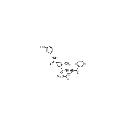 COC(=O)[C@H](CNC(=O)c1cnccn1)NC(=O)c1sc(C(=O)NCc2cccc(O)c2)cc1C